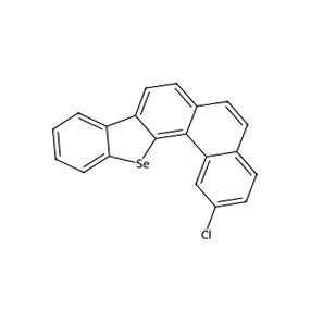 Clc1ccc2ccc3ccc4c5ccccc5[se]c4c3c2c1